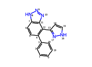 c1ccc(-c2ccc3[nH]nnc3c2-c2cc[nH]n2)cc1